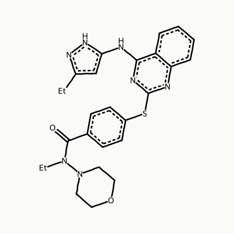 CCc1cc(Nc2nc(Sc3ccc(C(=O)N(CC)N4CCOCC4)cc3)nc3ccccc23)[nH]n1